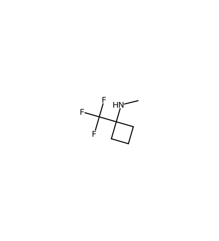 CNC1(C(F)(F)F)CCC1